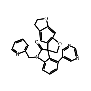 O=C1N(Cc2ccccn2)c2cccc(-c3cncnc3)c2C12COc1cc3c(cc12)CCO3